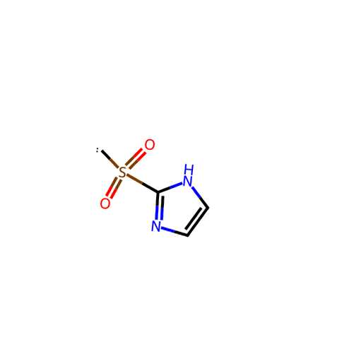 [CH]S(=O)(=O)c1ncc[nH]1